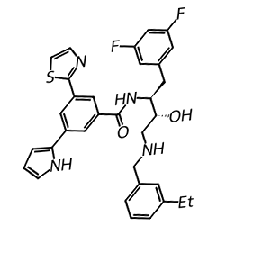 CCc1cccc(CNC[C@@H](O)[C@H](Cc2cc(F)cc(F)c2)NC(=O)c2cc(-c3ccc[nH]3)cc(-c3nccs3)c2)c1